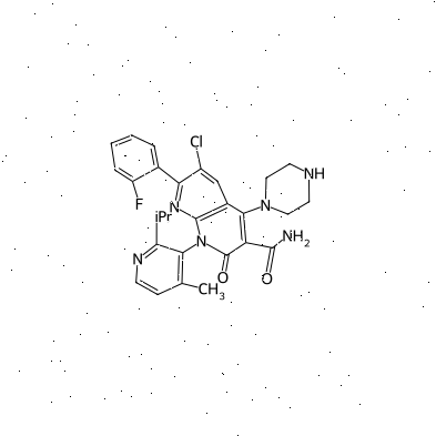 Cc1ccnc(C(C)C)c1-n1c(=O)c(C(N)=O)c(N2CCNCC2)c2cc(Cl)c(-c3ccccc3F)nc21